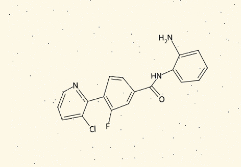 Nc1ccccc1NC(=O)c1ccc(-c2ncccc2Cl)c(F)c1